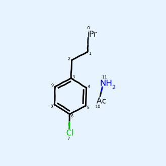 CC(C)CCc1ccc(Cl)cc1.CC(N)=O